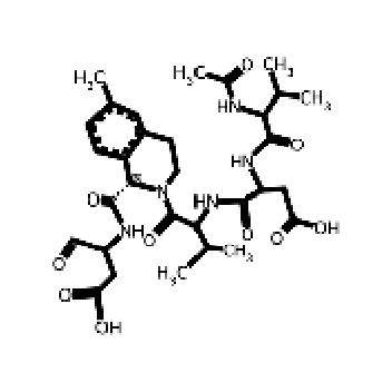 CC(=O)NC(C(=O)NC(CC(=O)O)C(=O)NC(C(=O)N1CCc2cc(C)ccc2[C@H]1C(=O)NC(C=O)CC(=O)O)C(C)C)C(C)C